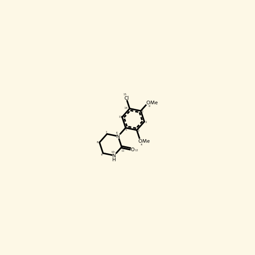 COc1cc(OC)c(N2CCCNC2=O)cc1Cl